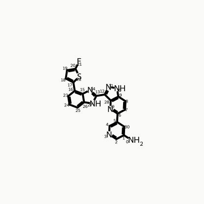 Nc1cncc(-c2ccc3[nH]nc(-c4nc5c(-c6ccc(F)s6)cccc5[nH]4)c3n2)c1